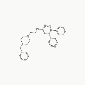 c1ccc(CC2CCN(CCNc3cc(-c4ccncc4)c(-c4ccccc4)nn3)CC2)cc1